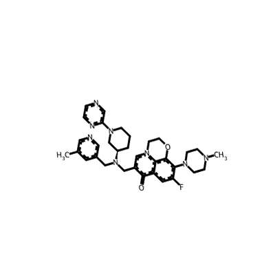 Cc1cncc(CN(Cc2cn3c4c(c(N5CCN(C)CC5)c(F)cc4c2=O)OCC3)[C@@H]2CCCN(c3cnccn3)C2)c1